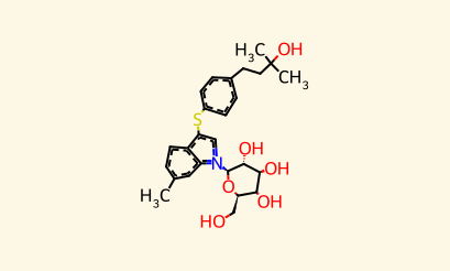 Cc1ccc2c(Sc3ccc(CCC(C)(C)O)cc3)cn([C@@H]3O[C@H](CO)[C@@H](O)[C@H](O)[C@H]3O)c2c1